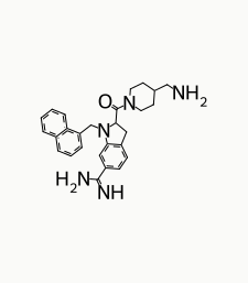 N=C(N)c1ccc2c(c1)N(Cc1cccc3ccccc13)C(C(=O)N1CCC(CN)CC1)C2